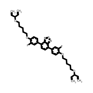 C=CC(C=C)OCCCCCOc1ccc(-c2ccc(-c3ccc(OCCCCCOC(C=C)C=C)c(F)c3)c3nsnc23)cc1F